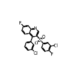 O=S(=O)(c1ccc(F)c(Cl)c1)c1cnc2cc(F)ccc2c1-c1cccc(Cl)c1